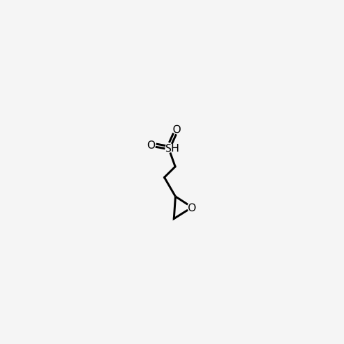 O=[SH](=O)CCC1CO1